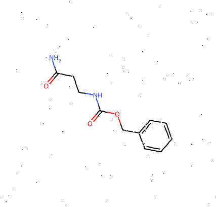 NC(=O)CCNC(=O)OCc1ccccc1